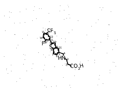 O=C(O)CCNCc1ccc2sc(-c3cc(C(F)(F)F)ccc3F)cc2c1